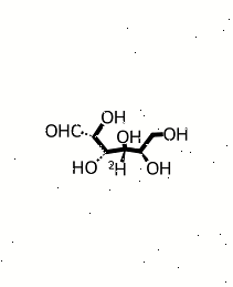 [2H][C@@](O)([C@H](O)CO)[C@H](O)[C@@H](O)C=O